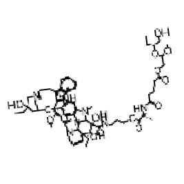 CCC(CO)OC(COC(=O)CCCC(=O)N[C@H](C)C(=O)OCCCNC(=O)[C@]1(O)C2N(C)c3cc(OC)c([C@@]4(C(=O)OC)CC5C[N@](CCc6c4[nH]c4ccccc64)CC(O)(CC)C5)cc3[C@@]23CCN2CC=C[C@](CC)(C23)[C@H]1O)OC